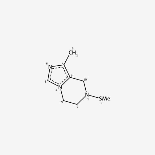 CSN1CCn2cnc(C)c2C1